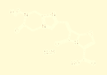 CN1Cc2nc(C=C3C(=O)N4C(C(=O)O)=CSC34)cn2CC1=O.[NaH]